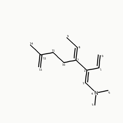 C=CC(=C\N(C)C)/C(=C/C)CCC(=C)C